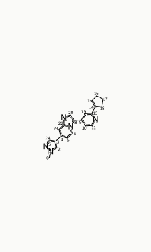 Cn1cc(-c2ccn3c(-c4ccnc(C5=CCCC5)c4)cnc3c2)cn1